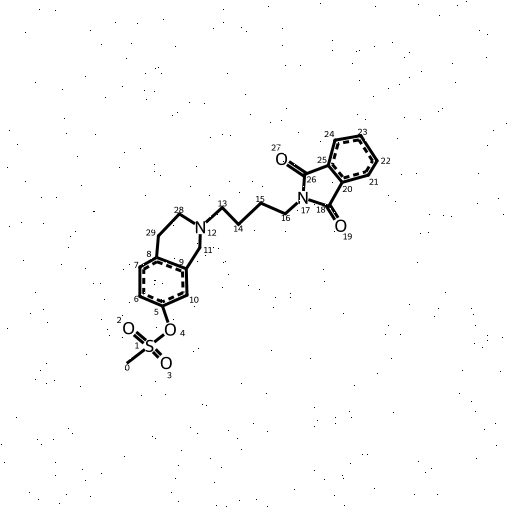 CS(=O)(=O)Oc1ccc2c(c1)CN(CCCCN1C(=O)c3ccccc3C1=O)CC2